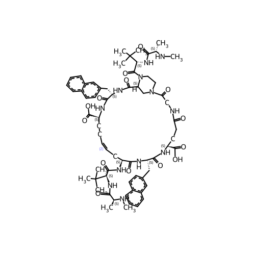 CN[C@@H](C)C(=O)N[C@H](C(=O)N[C@H]1C/C=C\CC[C@@H](C(=O)O)NC(=O)[C@H](Cc2ccc3ccccc3c2)NC(=O)[C@@H]2CN(CCN2C(=O)[C@@H](NC(=O)[C@H](C)NC)C(C)(C)C)C(=O)CNC(=O)CC[C@@H](C(=O)O)NC(=O)[C@H](Cc2ccc3ccccc3c2)NC1=O)C(C)(C)C